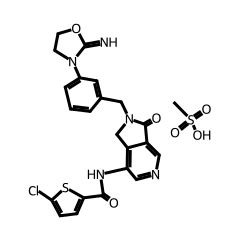 CS(=O)(=O)O.N=C1OCCN1c1cccc(CN2Cc3c(NC(=O)c4ccc(Cl)s4)cncc3C2=O)c1